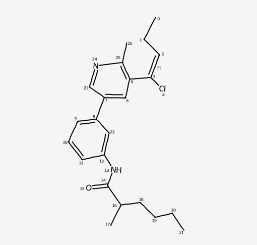 CC/C=C(/Cl)c1cc(-c2cccc(NC(=O)C(C)CCCC)c2)cnc1C